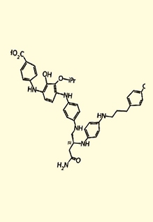 CC(C)Oc1c(Nc2ccc(NC[C@H](CC(N)=O)Nc3ccc(NCCCc4ccc(C#N)cc4)cc3)cc2)ccc(Nc2ccc(C(=O)O)cc2)c1O